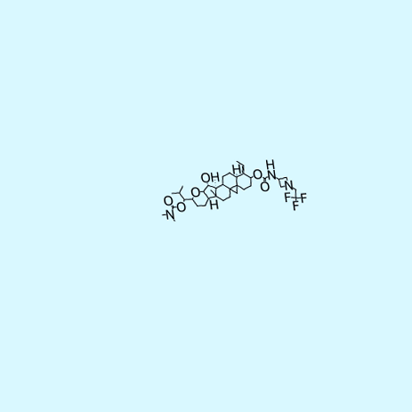 C/C=C1/C(OC(=O)NC2CN(CC(F)(F)F)C2)CCC23CC24CCC2(C)[C@H]5CCC(C(OC(=O)N(C)C)C(C)C)OC5[C@H](O)[C@@]2(C)C4CC[C@@H]13